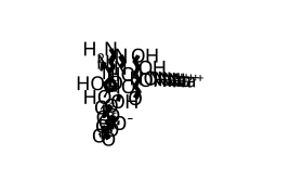 Nc1ncnc2c1ncn2[C@@H]1O[C@H](CO)[C@@H](O)[C@H]1O.O=C[C@H](O)[C@@H](O)[C@H](O)[C@H](O)CO.O=P([O-])([O-])OP(=O)([O-])OP(=O)([O-])[O-].[Na+].[Na+].[Na+].[Na+].[Na+].[Na+].[OH-]